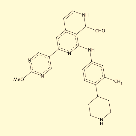 COc1ncc(-c2cc3c(c(Nc4ccc(C5CCNCC5)c(C)c4)n2)C(C=O)NC=C3)cn1